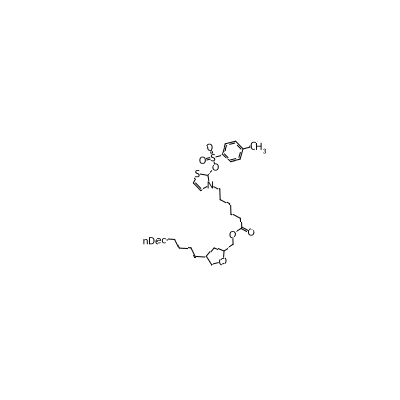 CCCCCCCCCCCCCCC1COC(COC(=O)CCCCCN2C=CSC2OS(=O)(=O)c2ccc(C)cc2)C1